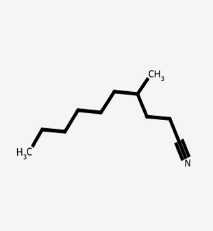 CCCCCCC(C)CCC#N